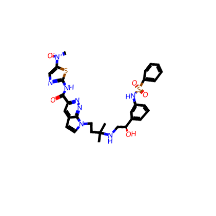 C=[N+]([O-])c1cnc(NC(=O)c2cc3ccn(CCC(C)(C)NC[C@H](O)c4cccc(NS(=O)(=O)c5ccccc5)c4)c3nn2)s1